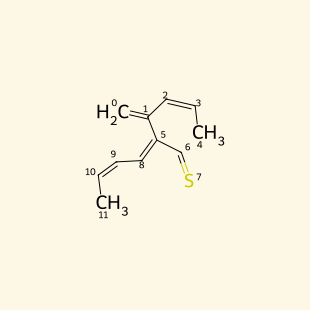 C=C(/C=C\C)/C(C=S)=C\C=C/C